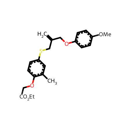 C=C(COc1ccc(OC)cc1)CSc1ccc(OCC(=O)OCC)c(C)c1